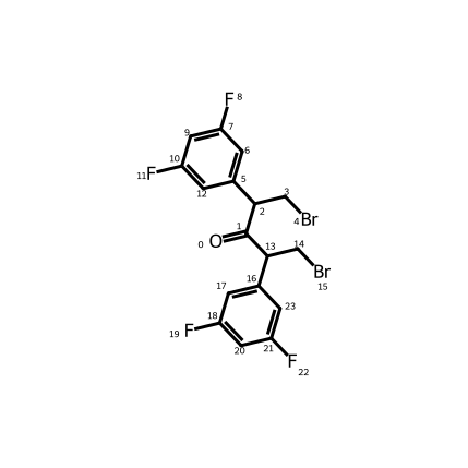 O=C(C(CBr)c1cc(F)cc(F)c1)C(CBr)c1cc(F)cc(F)c1